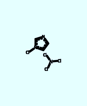 Cln1ccnc1.[Cl][Al]([Cl])[Cl]